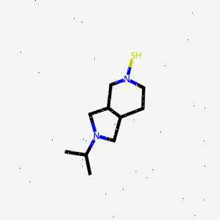 CC(C)N1CC2CCN(S)CC2C1